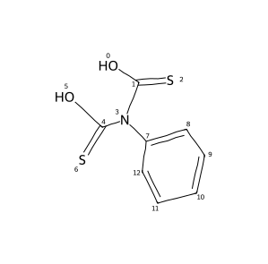 OC(=S)N(C(O)=S)c1ccccc1